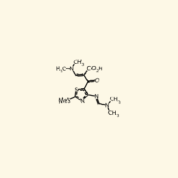 CSc1nc(N=CN(C)C)c(C(=O)C(=CN(C)C)C(=O)O)s1